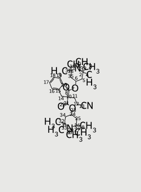 CN1C(C)(C)CC(OC(=O)C(CCC#N)(Cc2ccccc2)C(=O)OC2CC(C)(C)N(C)C(C)(C)C2)CC1(C)C